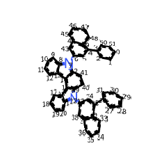 c1ccc(-c2cc(-n3c4ccccc4c4c5c6ccccc6n(-c6cc(-c7ccccc7)c7ccccc7c6)c5ccc43)cc3ccccc23)cc1